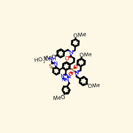 COc1ccc(CN(Cc2ccc(OC)cc2)C(=O)CCc2ccc(-c3cccc4sc(NC(=O)O)nc34)c(-c3nnn(Cc4ccc(OC)cc4)n3)c2S(=O)(=O)N(Cc2ccc(OC)cc2)Cc2ccc(OC)cc2)cc1